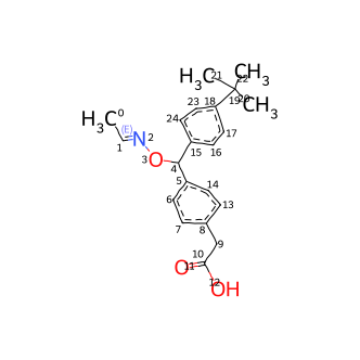 C/C=N/OC(c1ccc(CC(=O)O)cc1)c1ccc(C(C)(C)C)cc1